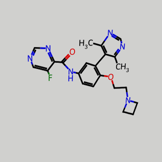 Cc1ncnc(C)c1-c1cc(NC(=O)c2ncncc2F)ccc1OCCN1CCC1